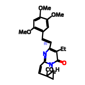 CCc1c(/C=C/c2cc(OC)c(OC)cc2OC)nc2n(c1=O)C1CC1(C(=O)O)C=C2